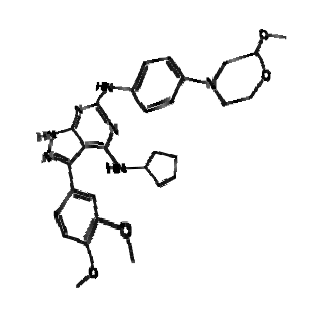 COc1ccc(-c2n[nH]c3nc(Nc4ccc(N5CCOC(OC)C5)cc4)nc(NC4CCCC4)c23)cc1OC